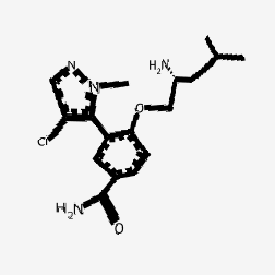 CC(C)C[C@@H](N)COc1ccc(C(N)=O)cc1-c1c(Cl)cnn1C